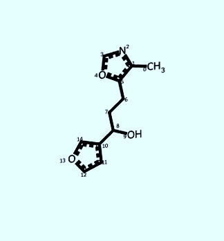 Cc1ncoc1CCC(O)c1ccoc1